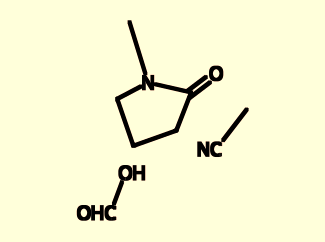 CC#N.CN1CCCC1=O.O=CO